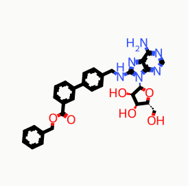 Nc1ncnc2c1nc(NCc1ccc(-c3cccc(C(=O)OCc4ccccc4)c3)cc1)n2[C@@H]1O[C@H](CO)[C@@H](O)[C@H]1O